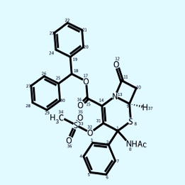 CC(=O)NC1(c2ccccc2)S[C@@H]2CC(=O)N2C(C(=O)OC(c2ccccc2)c2ccccc2)=C1OS(C)(=O)=O